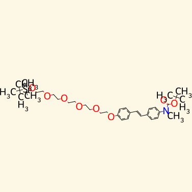 CN(C(=O)OC(C)(C)C)c1ccc(/C=C/c2ccc(OCCOCCOCCOCCOCCO[Si](C)(C)C(C)(C)C)cc2)cc1